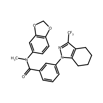 CN(C(=O)c1cccc(-n2nc(C(F)(F)F)c3c2CCCC3)c1)c1ccc2c(c1)OCO2